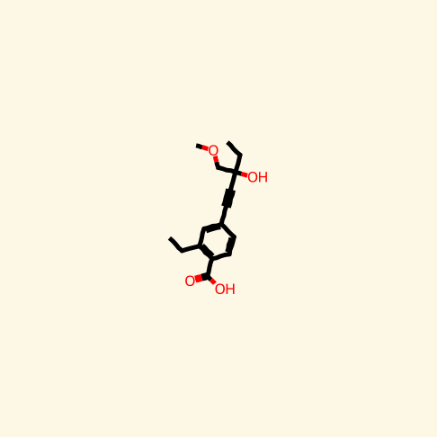 CCc1cc(C#CC(O)(CC)COC)ccc1C(=O)O